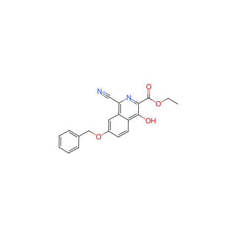 CCOC(=O)c1nc(C#N)c2cc(OCc3ccccc3)ccc2c1O